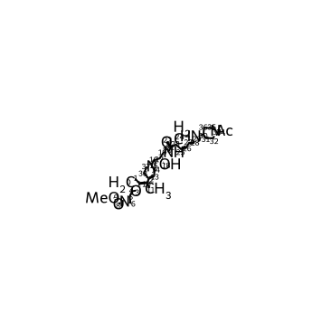 C=C/C(OCC1CN1OOC)=C(/C)C1=CCN(C[C@@H](O)CNC(=O)C(=C)/C=C\C=C\NC2CCN(C(C)=O)CC2)CC1